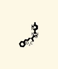 Cc1ccc(-c2noc([C@H](CCCC3CCCCC3)CC(=O)O)n2)nn1